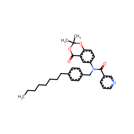 CCCCCCCCc1ccc(CN(C(=O)c2cccnc2)c2ccc3c(c2)C(=O)OC(C)(C)O3)cc1